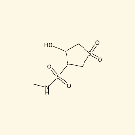 CNS(=O)(=O)C1CS(=O)(=O)CC1O